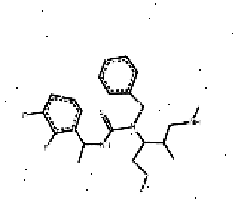 CCCC(C(C)CNC)N(Cc1ccccc1)C(=S)NC(C)c1cccc(F)c1F